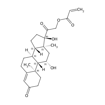 C=CC(=O)OCC(=O)[C@@]1(O)CC[C@H]2[C@@H]3CCC4=CC(=O)CC[C@]4(C)[C@H]3[C@@H](O)C[C@@]21C